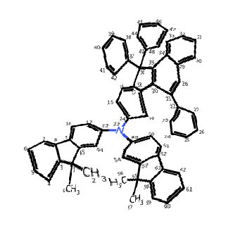 CC1(C)c2ccccc2-c2ccc(N(c3ccc4c(c3)-c3c(-c5ccccc5)cc5ccccc5c3C4(c3ccccc3)c3ccccc3)c3ccc4c(c3)C(C)(C)c3ccccc3-4)cc21